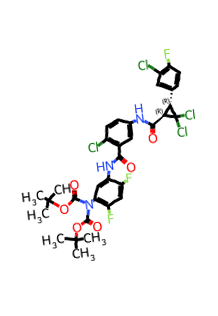 CC(C)(C)OC(=O)N(C(=O)OC(C)(C)C)c1cc(NC(=O)c2cc(NC(=O)[C@H]3[C@H](c4ccc(F)c(Cl)c4)C3(Cl)Cl)ccc2Cl)c(F)cc1F